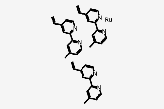 C=Cc1ccnc(-c2cc(C)ccn2)c1.C=Cc1ccnc(-c2cc(C)ccn2)c1.C=Cc1ccnc(-c2cc(C)ccn2)c1.[Ru]